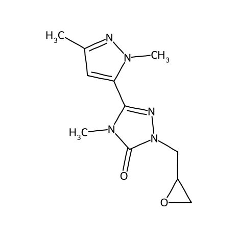 Cc1cc(-c2nn(CC3CO3)c(=O)n2C)n(C)n1